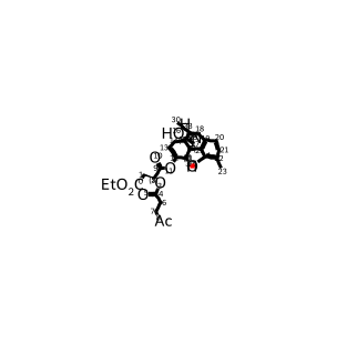 CCOC(=O)C[C@H](OC(=O)CCC(C)=O)C(=O)OC1=CC[C@@]2(O)[C@H]3Cc4ccc(C)c5c4[C@@]2(CCN3C)[C@H]1O5